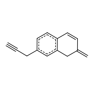 C#CCc1ccc2c(c1)CC(=C)C=C2